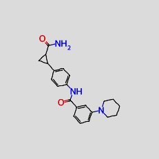 NC(=O)C1CC1c1ccc(NC(=O)c2cccc(N3CCCCC3)c2)cc1